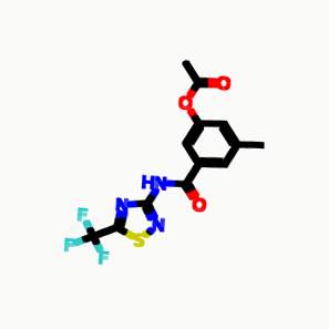 CC(=O)Oc1cc(C)cc(C(=O)Nc2nsc(C(F)(F)F)n2)c1